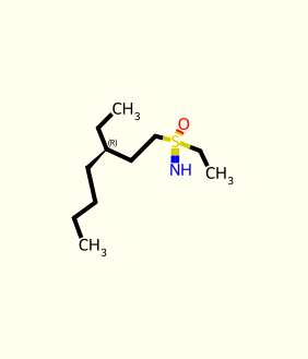 CCCC[C@@H](CC)CCS(=N)(=O)CC